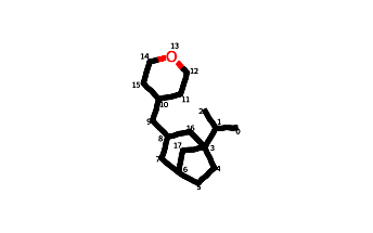 CC(C)C12CCC(CC(CC3CCOCC3)C1)C2